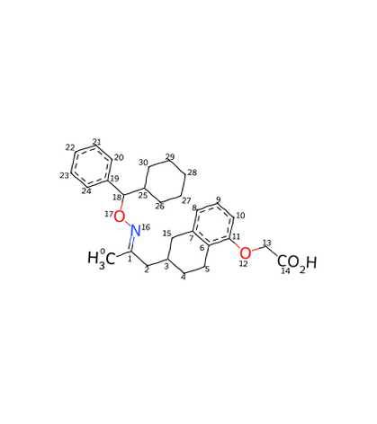 CC(CC1CCc2c(cccc2OCC(=O)O)C1)=NOC(c1ccccc1)C1CCCCC1